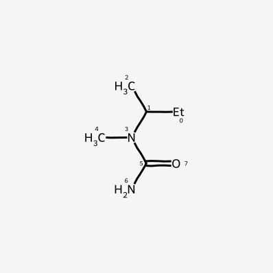 CCC(C)N(C)C(N)=O